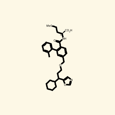 CSCC[C@H](NC(=O)c1ccc(COCCC(c2cnco2)C2CCCCC2)cc1-c1ccccc1C)C(=O)O